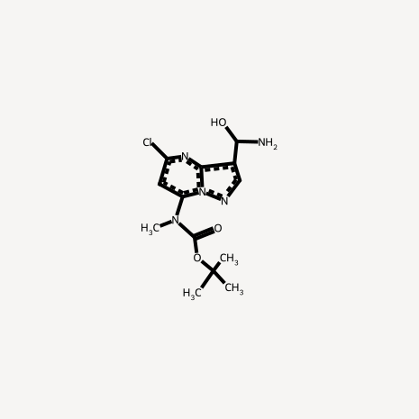 CN(C(=O)OC(C)(C)C)c1cc(Cl)nc2c(C(N)O)cnn12